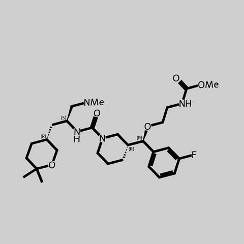 CNC[C@H](C[C@H]1CCC(C)(C)OC1)NC(=O)N1CCC[C@@H]([C@@H](OCCNC(=O)OC)c2cccc(F)c2)C1